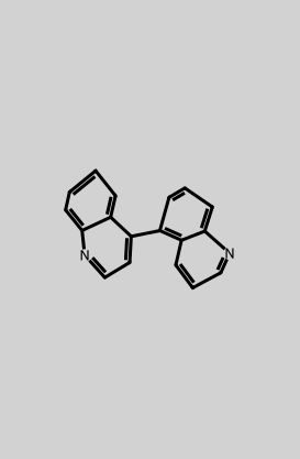 c1cc(-c2ccnc3ccccc23)c2cccnc2c1